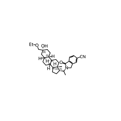 CCOC[C@@]1(O)CC[C@H]2[C@H](CC[C@@H]3[C@@H]2CC[C@]2(C)[C@@H](C(C)N4Cc5cc(C#N)ccc5C4=O)CC[C@@H]32)C1